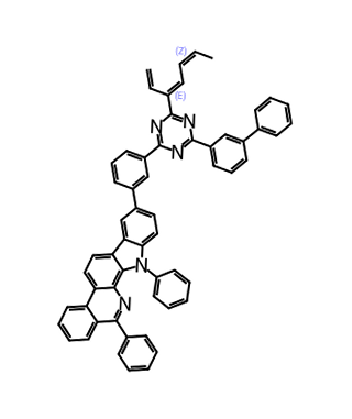 C=C/C(=C\C=C/C)c1nc(-c2cccc(-c3ccccc3)c2)nc(-c2cccc(-c3ccc4c(c3)c3ccc5c6ccccc6c(-c6ccccc6)nc5c3n4-c3ccccc3)c2)n1